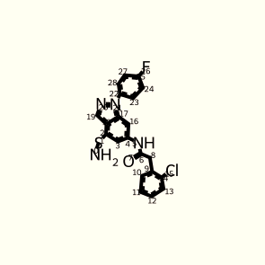 NSc1cc(NC(=O)Cc2ccccc2Cl)cc2c1cnn2-c1ccc(F)cc1